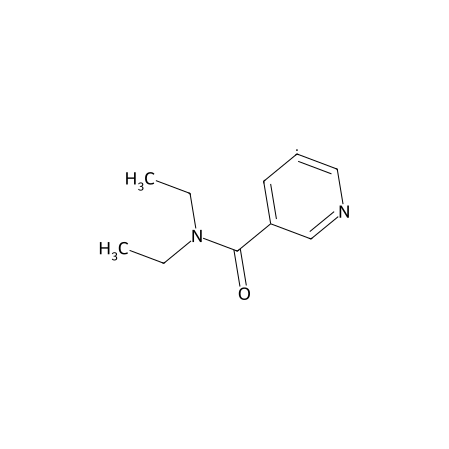 CCN(CC)C(=O)c1c[c]cnc1